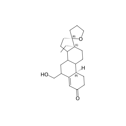 CC[C@]12CCC3C(CC(CO)C4=CC(=O)CC[C@@H]43)C1CC[C@@]21CCCO1